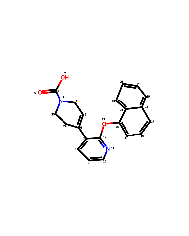 O=C(O)N1CC=C(c2cccnc2Oc2cccc3ccccc23)CC1